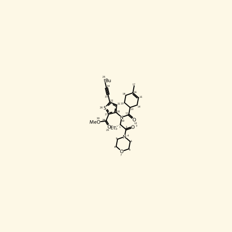 CC[C@@H](C(=O)N1CCOCC1)N(C(=O)C1CC=C(C)CC1)c1cc(C#CC(C)(C)C)sc1C(=O)OC